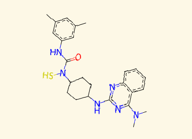 Cc1cc(C)cc(NC(=O)N(S)C2CCC(Nc3nc(N(C)C)c4ccccc4n3)CC2)c1